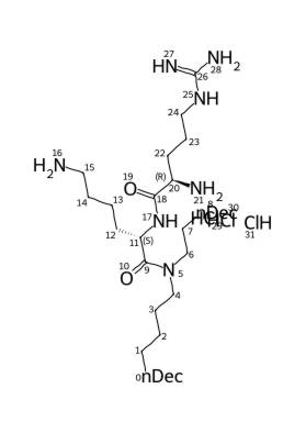 CCCCCCCCCCCCCCN(CCCCCCCCCCCC)C(=O)[C@H](CCCCN)NC(=O)[C@H](N)CCCNC(=N)N.Cl.Cl.Cl